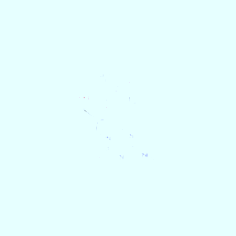 CP(C)(=O)CO[C@H](CO)Cn1cnc(N)nc1=O